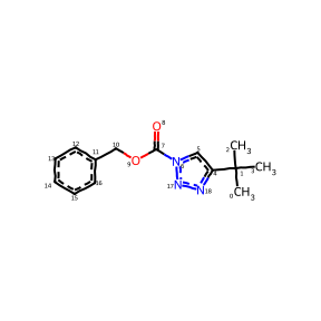 CC(C)(C)c1cn(C(=O)OCc2ccccc2)nn1